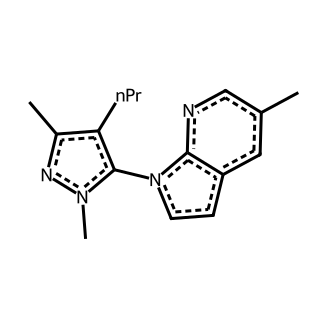 [CH2]CCc1c(C)nn(C)c1-n1ccc2cc(C)cnc21